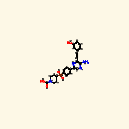 Nc1ncc(-c2ccc(S(=O)(=O)C3CCN(C(=O)O)CC3)cc2)nc1C#Cc1cccc(O)c1